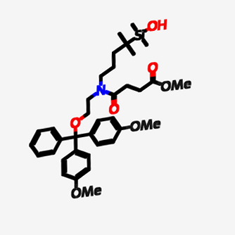 COC(=O)CCC(=O)N(CCCC(C)(C)[Si](C)(C)O)CCOC(c1ccccc1)(c1ccc(OC)cc1)c1ccc(OC)cc1